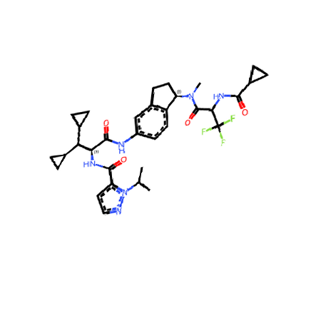 CC(C)n1nccc1C(=O)N[C@H](C(=O)Nc1ccc2c(c1)CC[C@H]2N(C)C(=O)C(NC(=O)C1CC1)C(F)(F)F)C(C1CC1)C1CC1